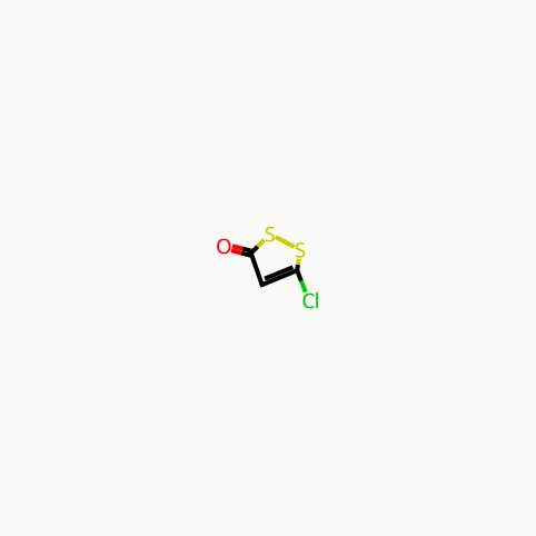 O=c1cc(Cl)ss1